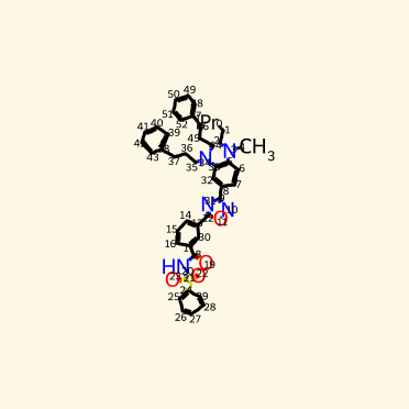 CC(C)CCN(C)c1ccc(-c2noc(-c3cccc(C(=O)NS(=O)(=O)c4ccccc4)c3)n2)cc1N(CCCc1ccccc1)CCCc1ccccc1